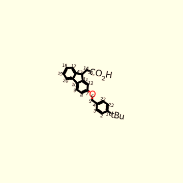 CC(C)(C)c1ccc(COc2ccc3c(c2)C(CC(=O)O)c2ccccc2-3)cc1